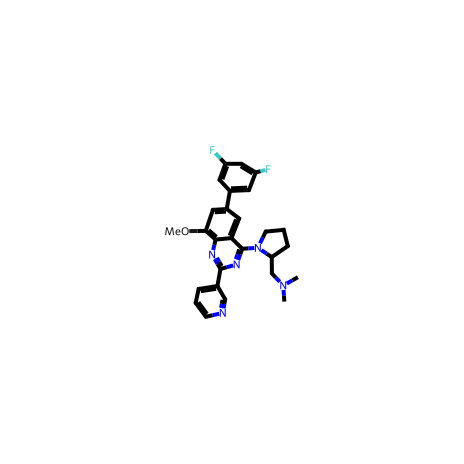 COc1cc(-c2cc(F)cc(F)c2)cc2c(N3CCCC3CN(C)C)nc(-c3cccnc3)nc12